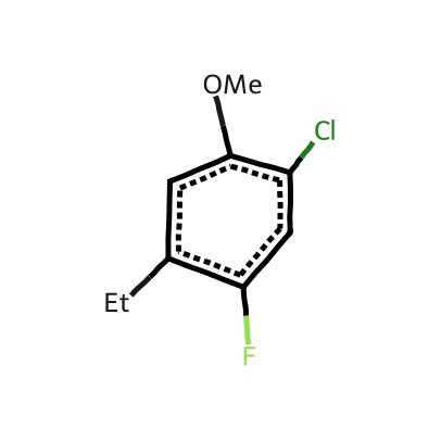 CCc1cc(OC)c(Cl)cc1F